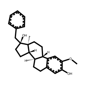 COc1cc2c(cc1O)CC[C@@H]1[C@@H]2CC[C@@]2(C)[C@H]1CC[C@]2(O)Cc1ccccc1